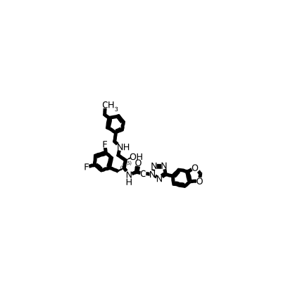 CCc1cccc(CNC[C@H](O)[C@H](Cc2cc(F)cc(F)c2)NC(=O)Cn2nnc(-c3ccc4c(c3)OCO4)n2)c1